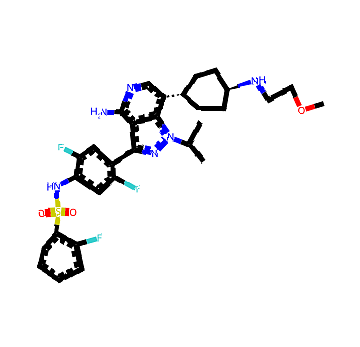 COCCN[C@H]1CC[C@H](c2cnc(N)c3c(-c4cc(F)c(NS(=O)(=O)c5ccccc5F)cc4F)nn(C(C)C)c32)CC1